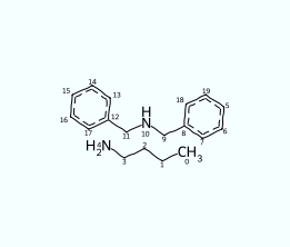 CCCCN.c1ccc(CNCc2ccccc2)cc1